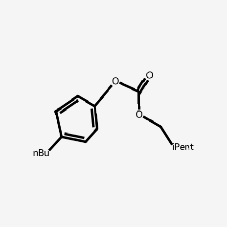 CCCCc1ccc(OC(=O)OCC(C)CCC)cc1